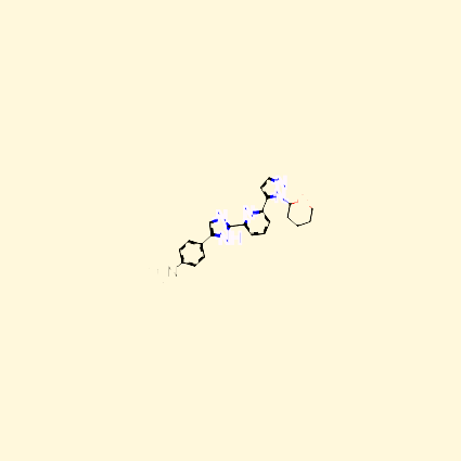 O=[N+]([O-])c1ccc(-c2cnc(-c3cccc(-c4ccnn4C4CCCCO4)n3)[nH]2)cc1